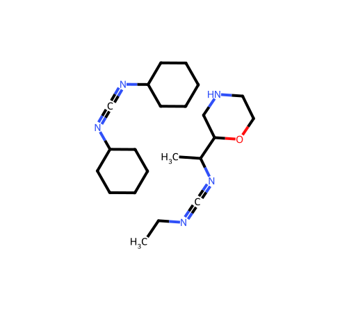 C(=NC1CCCCC1)=NC1CCCCC1.CCN=C=NC(C)C1CNCCO1